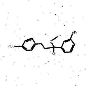 CCCCc1ccc(CCC([O])(OCC)c2cccc(CCC)c2)cc1